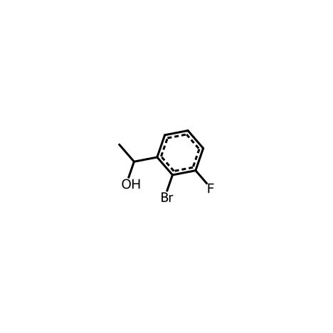 CC(O)c1cccc(F)c1Br